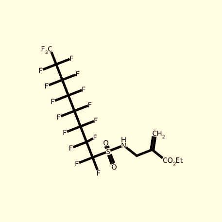 C=C(CNS(=O)(=O)C(F)(F)C(F)(F)C(F)(F)C(F)(F)C(F)(F)C(F)(F)C(F)(F)C(F)(F)F)C(=O)OCC